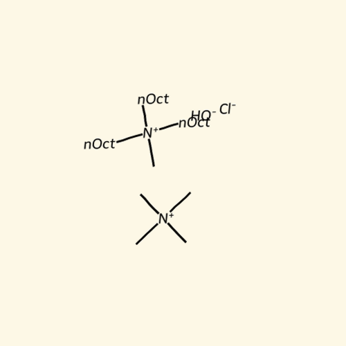 CCCCCCCC[N+](C)(CCCCCCCC)CCCCCCCC.C[N+](C)(C)C.[Cl-].[OH-]